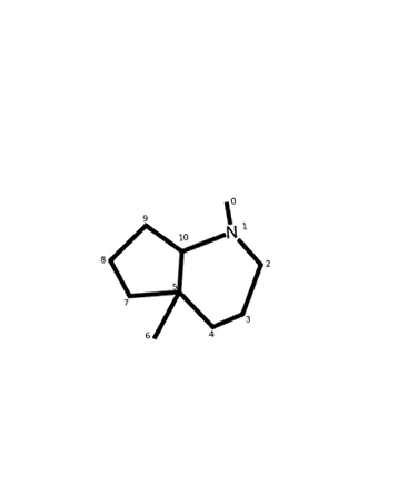 CN1CCCC2(C)CCCC12